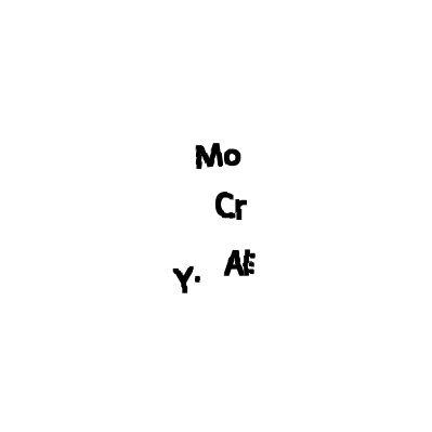 [Al].[Cr].[Mo].[Y]